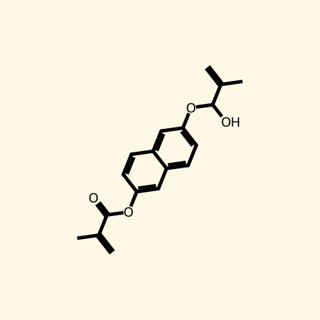 C=C(C)C(=O)Oc1ccc2cc(OC(O)C(=C)C)ccc2c1